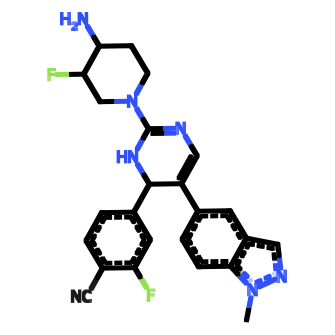 Cn1ncc2cc(C3=CN=C(N4CCC(N)C(F)C4)NC3c3ccc(C#N)c(F)c3)ccc21